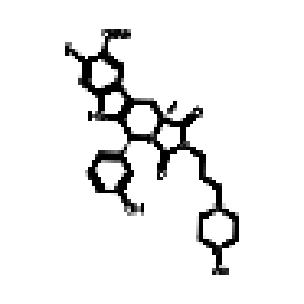 COc1cc2c3c([nH]c2cc1F)[C@@H](c1cccc(O)c1)N1C(=O)N(CCCN2CCN(C(C)=O)CC2)C(=O)[C@]1(C)C3